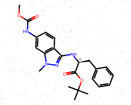 COC(=O)Nc1ccc2c(N[C@@H](Cc3ccccc3)C(=O)OC(C)(C)C)nn(C)c2c1